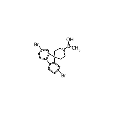 CB(O)N1CCC2(CC1)c1cc(Br)ccc1-c1ccc(Br)cc12